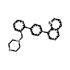 c1ccc(-c2ccc(-c3cccc4cccnc34)cc2)c(CN2CC[N]CC2)c1